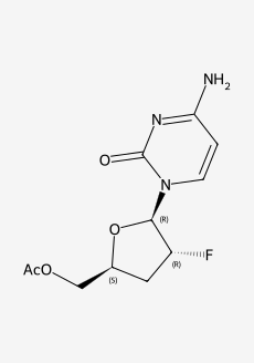 CC(=O)OC[C@@H]1C[C@@H](F)[C@H](n2ccc(N)nc2=O)O1